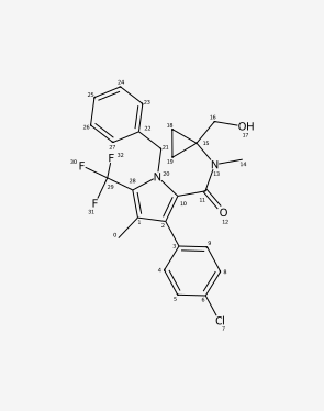 Cc1c(-c2ccc(Cl)cc2)c(C(=O)N(C)C2(CO)CC2)n(Cc2ccccc2)c1C(F)(F)F